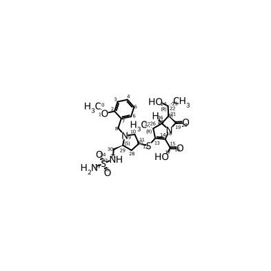 COc1ccccc1CN1C[C@@H](SC2=C(C(=O)O)N3C(=O)[C@H]([C@@H](C)O)[C@H]3[C@H]2C)C[C@H]1CNS(N)(=O)=O